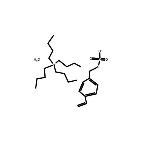 C=Cc1ccc(COS(=O)(=O)[O-])cc1.CCCC[N+](CCCC)(CCCC)CCCC.O